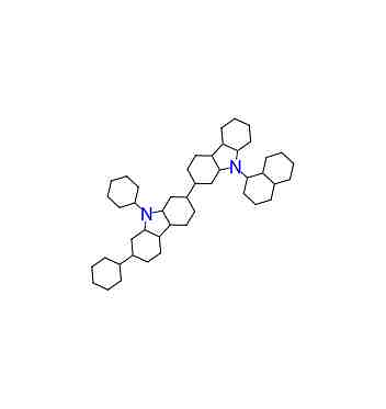 C1CCC(C2CCC3C4CCC(C5CCC6C7CCCCC7N(C7CCCC8CCCCC87)C6C5)CC4N(C4CCCCC4)C3C2)CC1